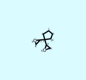 C1CCC(C2CO2)(C2CO2)C1